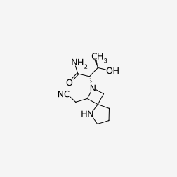 C[C@@H](O)[C@@H](C(N)=O)N1CC2(CCCN2)C1CC#N